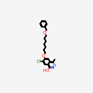 Cc1nnc(O)c2cc(Cl)c(OCCCCCCCOCc3ccccc3)cc12